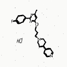 Cc1cc(OCCCN2CCC(c3ccncc3)CC2)nc(-c2ccc(F)cc2)n1.Cl